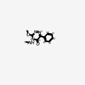 CNn1c(OC)nnc(-c2ccccc2)c1=O